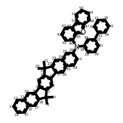 CC1(C)c2cc3c(cc2-c2cc4ccccc4cc21)C(C)(C)c1cc2cc(N(c4cccc(-c5ccccc5)c4)c4cccc5c4oc4ccccc45)ccc2cc1-3